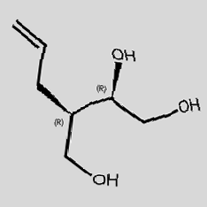 C=CC[C@H](CO)[C@@H](O)CO